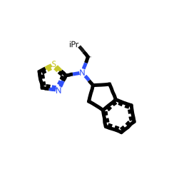 CC(C)[CH]N(c1nccs1)C1Cc2ccccc2C1